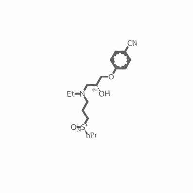 CCC[S@@+]([O-])CCCN(CC)C[C@@H](O)COc1ccc(C#N)cc1